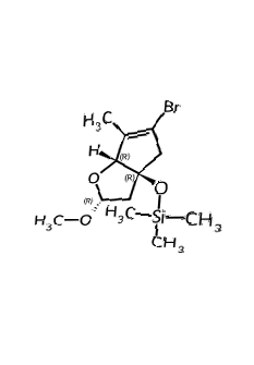 CO[C@H]1C[C@@]2(O[Si](C)(C)C)CC(Br)=C(C)[C@H]2O1